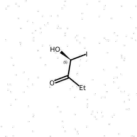 CCC(=O)[C@@H](O)I